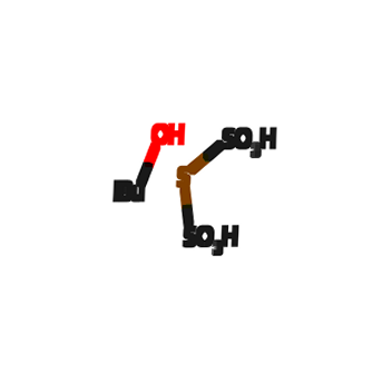 CCC(C)O.O=S(=O)(O)SS(=O)(=O)O